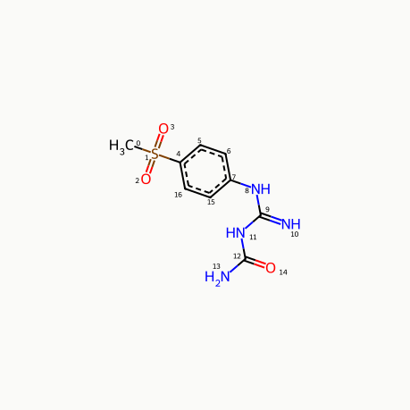 CS(=O)(=O)c1ccc(NC(=N)NC(N)=O)cc1